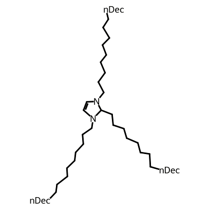 CCCCCCCCCCCCCCCCCCCN1C=CN(CCCCCCCCCCCCCCCCCCC)C1CCCCCCCCCCCCCCCCCC